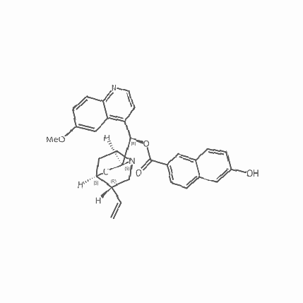 C=C[C@H]1CN2CC[C@H]1C[C@H]2[C@H](OC(=O)c1ccc2cc(O)ccc2c1)c1ccnc2ccc(OC)cc12